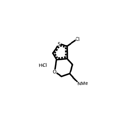 CNC1COc2csc(Cl)c2C1.Cl